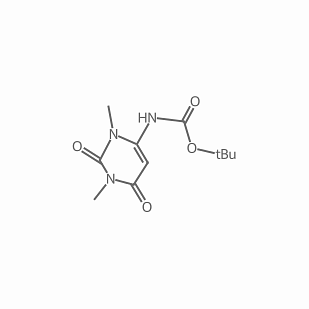 Cn1c(NC(=O)OC(C)(C)C)cc(=O)n(C)c1=O